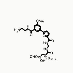 CCCCC[C@H](CN(O)C=O)C(=O)NCNC(=O)c1ccc(-c2cc(OC)cc(C(=O)NCCN)c2)o1